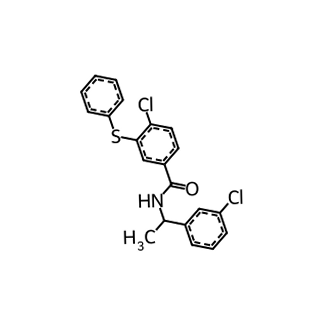 CC(NC(=O)c1ccc(Cl)c(Sc2ccccc2)c1)c1cccc(Cl)c1